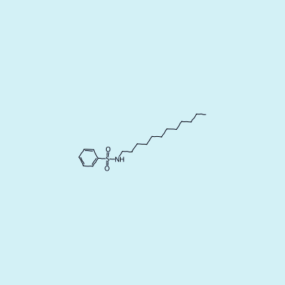 CCCCCCCCCCCCNS(=O)(=O)c1ccccc1